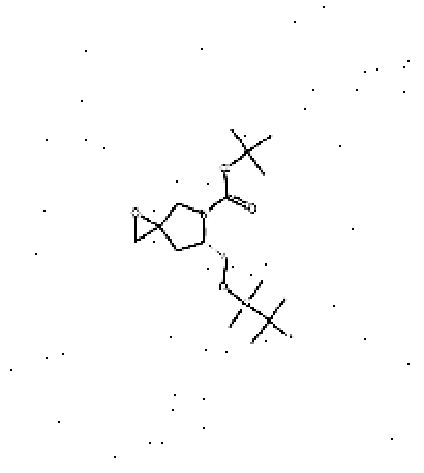 CC(C)(C)OC(=O)N1CC2(CO2)C[C@H]1CO[Si](C)(C)C(C)(C)C